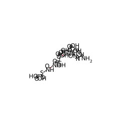 CC(C)(COP(=O)(O)OP(=O)(O)OC[C@H]1O[C@@H](n2cnc3c(N)ncnc32)[C@H](O)[C@@H]1OP(=O)(O)O)[C@@H](O)C(=O)NCCC(=O)NCCSC(=O)CP(=O)(O)O